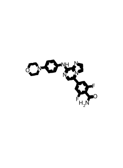 NC(=O)c1c(F)cc(-c2cnc(Nc3ccc(N4CCOCC4)cc3)c3nccn23)cc1F